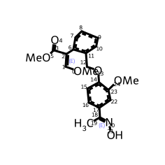 CO/C=C(/C(=O)OC)c1ccccc1COc1ccc(/C(C)=N/O)cc1OC